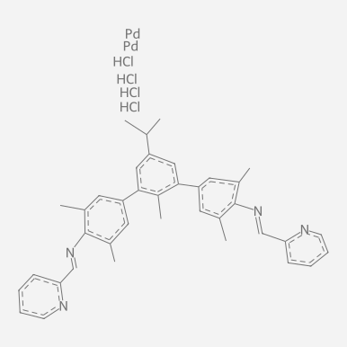 Cc1cc(-c2cc(C(C)C)cc(-c3cc(C)c(N=Cc4ccccn4)c(C)c3)c2C)cc(C)c1N=Cc1ccccn1.Cl.Cl.Cl.Cl.[Pd].[Pd]